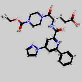 CCOC(=O)N1CCN(C(=O)[C@H](CCC(=O)O)NC(=O)c2cc(-n3cccn3)cc(-c3ccccc3)n2)CC1